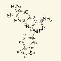 CCC(Nc1ccc(C(N)=O)c(Nc2ccc3ncsc3c2)n1)C(N)=O